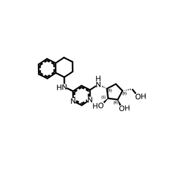 OC[C@H]1C[C@@H](Nc2cc(NC3CCCc4ccccc43)ncn2)[C@H](O)[C@@H]1O